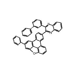 c1ccc(-c2cccc(-c3nc4ccccc4nc3-c3ccc4c(c3)c3cccc5oc6cc(-c7ccccc7)cc4c6c53)c2)cc1